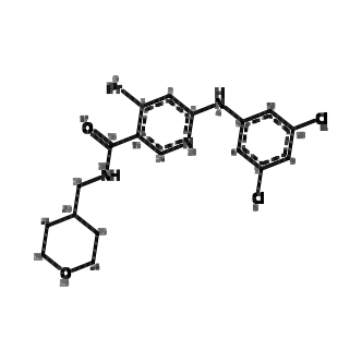 CC(C)c1cc(Nc2cc(Cl)cc(Cl)c2)ncc1C(=O)NCC1CCOCC1